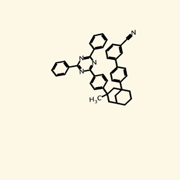 CC1(c2ccc(-c3nc(-c4ccccc4)nc(-c4ccccc4)n3)cc2)CC2CCCC(c3ccc(-c4cccc(C#N)c4)cc3)(C2)C1